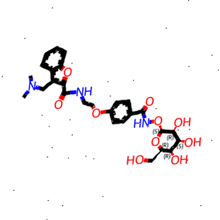 CN(C)Cc1c(C(=O)NCCOc2ccc(C(=O)NO[C@@H]3O[C@H](CO)[C@H](O)[C@H](O)[C@H]3O)cc2)oc2ccccc12